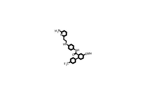 COc1ccc(-c2ccc(C(F)(F)F)cc2)c(C(=O)Nc2ccc(NCCc3cccc(N)n3)cc2)c1